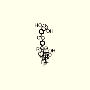 O=C(Oc1ccc(OC(=O)C(C(=O)OF)(C(=O)OF)C(F)(C(=O)O)C(F)(F)C(F)(F)C(F)(F)C(F)(F)F)cc1)c1ccc(C(=O)O)c(C(=O)O)c1